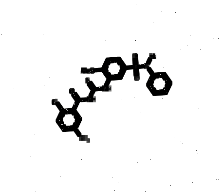 Bc1ccc(Cl)c(C(=O)NC(=S)Nc2cc(S(=O)(=O)N(CC)c3ccccc3)ccc2OC)c1